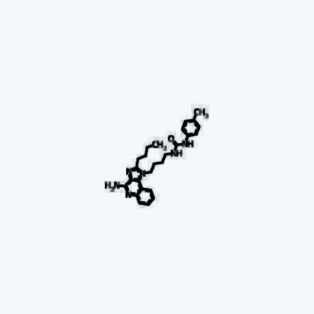 CCCCc1nc2c(N)nc3ccccc3c2n1CCCCNC(=O)Nc1ccc(C)cc1